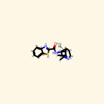 CC1(C)[C@@H](NC(=O)c2nc3ccccc3s2)C2CCN1CC2